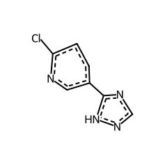 Clc1ccc(-c2ncn[nH]2)cn1